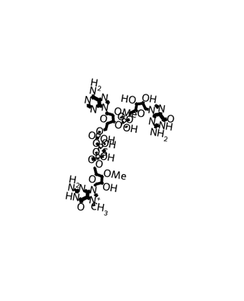 COC1C(COP(=O)(O)OP(O)(=S)OP(=O)(O)OCC2OC(n3cnc4c(N)ncnc43)C(OC)C2OP(=O)(O)OCC2OC(n3cnc4c(=O)[nH]c(N)nc43)C(O)C2O)OC(n2c[n+](C)c3c(=O)[nH]c(N)nc32)C1O